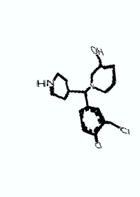 OC1CCCN(C(c2ccc(Cl)c(Cl)c2)C2CCNCC2)C1